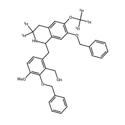 [2H]C1([2H])Cc2cc(OC([2H])([2H])[2H])c(OCc3ccccc3)cc2C(Cc2ccc(OC)c(OCc3ccccc3)c2CO)N1